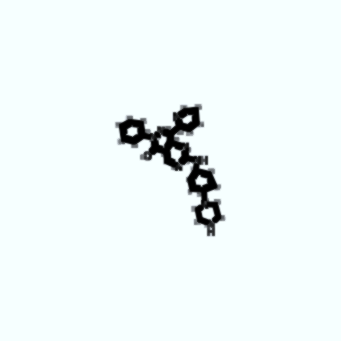 O=c1c2cnc(Nc3ccc(N4CCNCC4)cc3)nc2c(-c2ccccn2)nn1-c1ccccc1